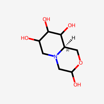 OC1CN2CC(O)C(O)C(O)[C@H]2CO1